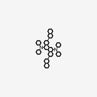 c1ccc(N(c2ccccc2)c2cc3c4cc(-c5ccc6ccccc6c5)ccc4c(N(c4ccccc4)c4ccccc4)cc3c3cc(-c4ccc5ccccc5c4)ccc23)cc1